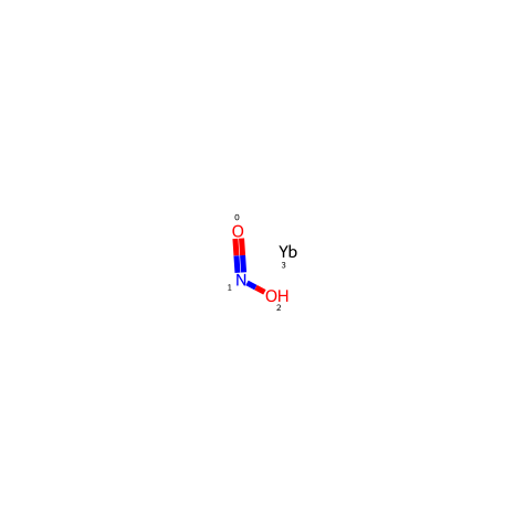 O=NO.[Yb]